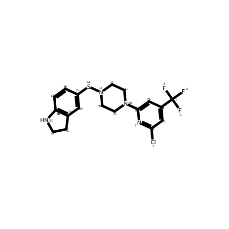 FC(F)(F)c1cc(Cl)nc(N2CCN(Sc3ccc4c(c3)CCN4)CC2)c1